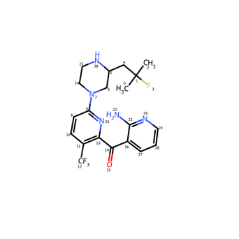 CC(C)(F)CC1CN(c2ccc(C(F)(F)F)c(C(=O)c3cccnc3N)n2)CCN1